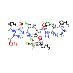 CCn1c(CO)nn(-c2nc(O[C@@H](C)C(F)(F)F)c(C(=O)Nc3ncnc(C)c3Cl)cc2F)c1=O